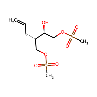 C=CC[C@@H](COS(C)(=O)=O)[C@@H](O)COS(C)(=O)=O